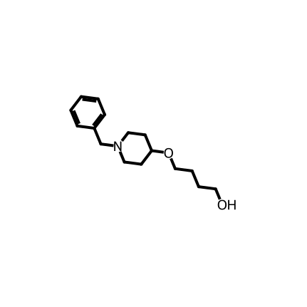 OCCCCOC1CCN(Cc2ccccc2)CC1